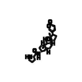 C[C@]12CC[C@@H](NC(=O)C3CCCN3)C[C@H]1CC[C@@H]1[C@@H]2CC[C@]2(C)[C@@H](c3ccc(=O)oc3)CC[C@]12O